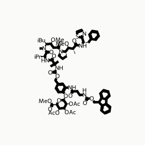 CC[C@H](C)[C@@H]([C@@H](CC(=O)N1CCC[C@H]1[C@H](OC)[C@@H](C)C(=O)N[C@@H](Cc1ccccc1)c1nccs1)OC)N(C)C(=O)[C@@H](NC(=O)C(C)(C)NC(=O)OCc1ccc(O[C@@H]2O[C@H](C(=O)OC)[C@@H](OC(C)=O)[C@H](OC(C)=O)[C@H]2OC(C)=O)c(NC(=O)CCNC(=O)OCC2c3ccccc3-c3ccccc32)c1)C(C)C